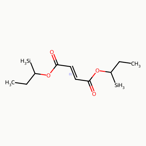 CCC([SiH3])OC(=O)/C=C/C(=O)OC([SiH3])CC